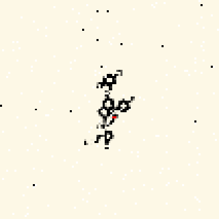 N#CCCN1C(=O)CC[C@H]1C(=O)N1CC[C@@]2(S(=O)(=O)c3ccc(F)cc3)c3ccc(OCc4cc(Cl)ccc4Cl)cc3CC[C@@H]12